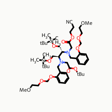 COCCOCOc1ccccc1CN(CC(=O)OCCC#N)[C@@H](CO[Si](C)(C)C(C)(C)C)[C@H](CO[Si](C)(C)C(C)(C)C)N(CC(=O)OC(C)(C)C)Cc1ccccc1OCOCCOC